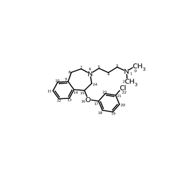 CN(C)CCCN1CCc2ccccc2C(Oc2cccc(Cl)c2)C1